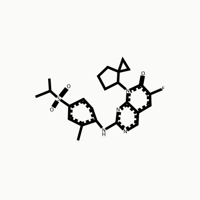 Cc1cc(S(=O)(=O)C(C)C)ccc1Nc1ncc2cc(F)c(=O)n(C3CCCC34CC4)c2n1